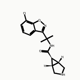 CC(C)(NC(=O)[C@H]1[C@@H]2CNC[C@@H]21)c1noc2c(Cl)cccc12